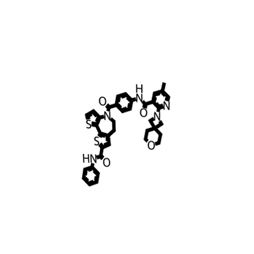 Cc1cnc(N2CC3(CCOCC3)C2)c(C(=O)Nc2ccc(C(=O)N3CCc4cc(C(=O)Nc5ccccc5)sc4-c4sccc43)cc2)c1